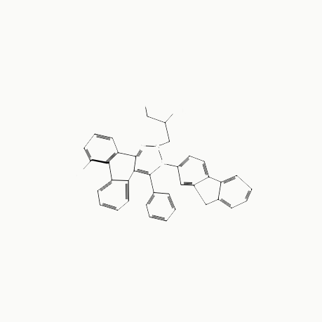 CCCc1ccccc1C1=C(c2ccccc2)N(c2ccc3c(c2)Cc2ccccc2-3)N(CC(C)CC)N=C1c1ccccc1